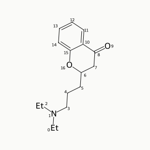 CCN(CC)CCCC1CC(=O)c2ccccc2O1